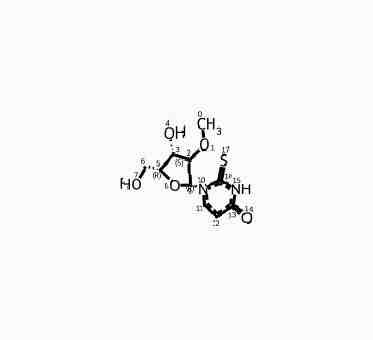 COC1[C@@H](O)[C@@H](CO)O[C@H]1n1ccc(=O)[nH]c1=S